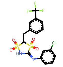 O=S1(=O)NC(=Nc2cccc(Cl)c2)S(=O)(=O)C1Cc1cccc(C(F)(F)F)c1